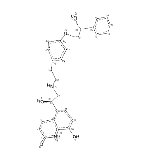 O=c1ccc2c([C@@H](O)CNCCc3ccc(OCC(O)c4ccccc4)cc3)ccc(O)c2[nH]1